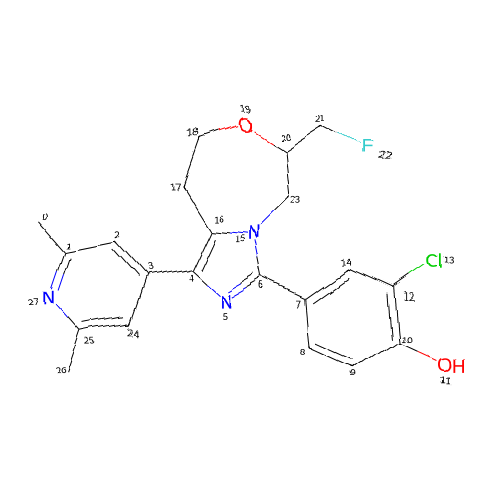 Cc1cc(-c2nc(-c3ccc(O)c(Cl)c3)n3c2CCOC(CF)C3)cc(C)n1